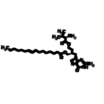 CCCCCC/C=C/CCCCCCCC(=O)OC[C@H](CCOC(=O)[C@@H](N)C(C)C)Cn1cnc2c(=O)[nH]c(N)nc21